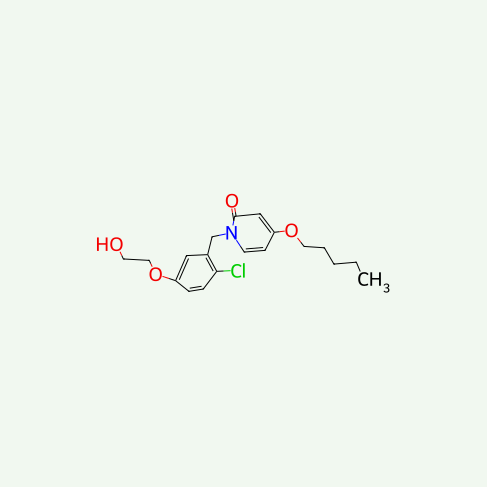 CCCCCOc1ccn(Cc2cc(OCCO)ccc2Cl)c(=O)c1